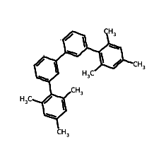 Cc1cc(C)c(-c2cc[c]c(-c3[c]ccc(-c4c(C)cc(C)cc4C)c3)c2)c(C)c1